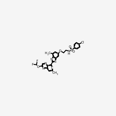 Cc1cc(-c2nc3c(C)cc(OCCNS(=O)(=O)c4ccc(Cl)cc4)cc3s2)c2ncc(OC(F)F)nc2c1